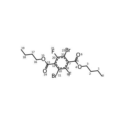 CCCCOC(=O)c1c(F)c(Br)c(C(=O)OCCCC)c(F)c1Br